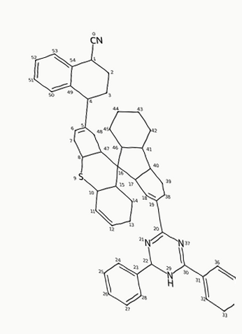 N#CC1CCC(C2=CCC3SC4C=CCCC4C4(C5C=C(C6=NC(c7ccccc7)NC(C7=CCCC=C7)=N6)CCC5C5CCCCC54)C3C2)c2ccccc21